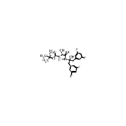 C[C@H](NC(=O)OC(C)(C)C)C(=O)NC(C)(Cc1cc(F)cc(F)c1)Cc1cc(F)cc(F)c1